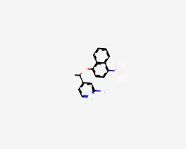 CC(Oc1ccc([N+](=O)[O-])c2ccccc12)c1ccnc(N)c1